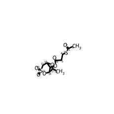 CC(=O)SCCC(=O)OC1C2CS(=O)(=O)OC1C(C)O2